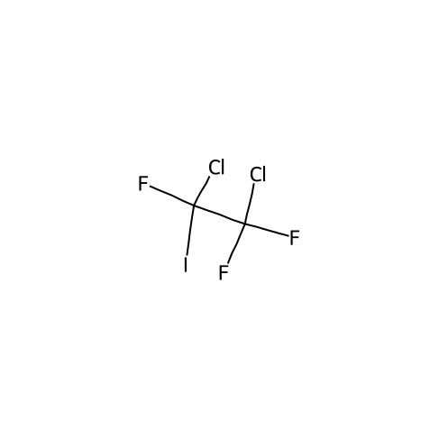 FC(F)(Cl)C(F)(Cl)I